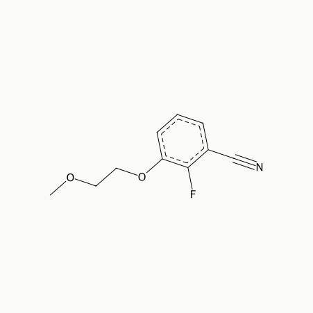 COCCOc1cccc(C#N)c1F